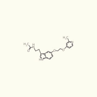 CC(=O)NCCc1c[nH]c2ccc(OCCOc3ccnc(C)c3)cc12